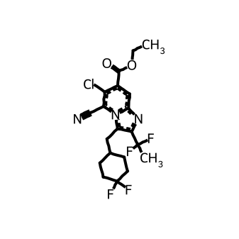 CCOC(=O)c1cc2nc(C(C)(F)F)c(CC3CCC(F)(F)CC3)n2c(C#N)c1Cl